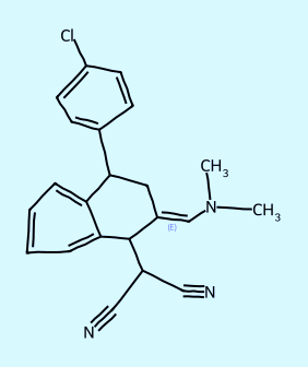 CN(C)/C=C1\CC(c2ccc(Cl)cc2)c2ccccc2C1C(C#N)C#N